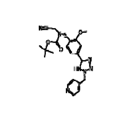 COc1cc(C2N=NN(Cc3ccncc3)N2)ccc1SN(CC#N)C(=O)OC(C)(C)C